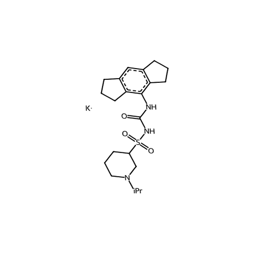 CC(C)N1CCCC(S(=O)(=O)NC(=O)Nc2c3c(cc4c2CCC4)CCC3)C1.[K]